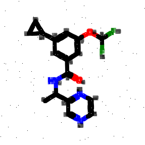 CC(NC(=O)c1cc(OC(F)F)cc(C2CC2)c1)c1cnccn1